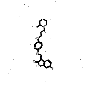 CC1CCCCN1CCCNc1ccc(N/C=C2\C(=O)Nc3cc(F)ccc32)cc1